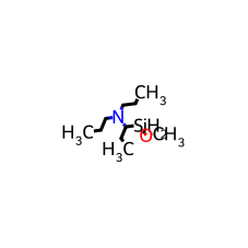 CCCN(CCC)C(CC)[SiH2]OC